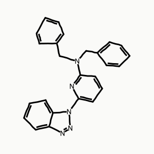 c1ccc(CN(Cc2ccccc2)c2cccc(-n3nnc4ccccc43)n2)cc1